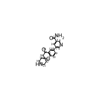 NC(=O)c1cncc(-c2ccc3c(c2)C(=O)CC2(CCNCC2)O3)c1